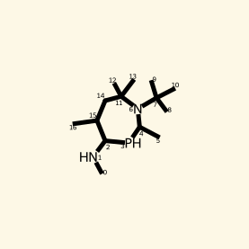 CNC1PC(C)N(C(C)(C)C)C(C)(C)CC1C